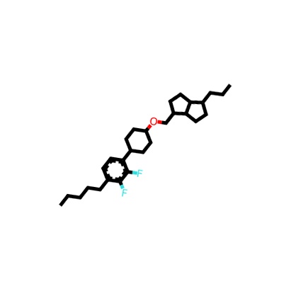 CCCCCc1ccc(C2CCC(OCC3CCC4C(CCC)CCC34)CC2)c(F)c1F